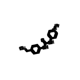 CC(C)[n+]1ccc(NC(=O)Nc2ccc(CC(C)(C)C)cc2)cc1